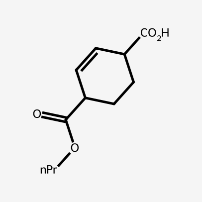 CCCOC(=O)C1C=CC(C(=O)O)CC1